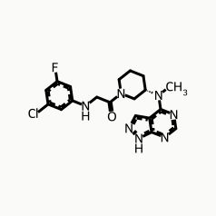 CN(c1ncnc2[nH]ncc12)[C@H]1CCCN(C(=O)CNc2cc(F)cc(Cl)c2)C1